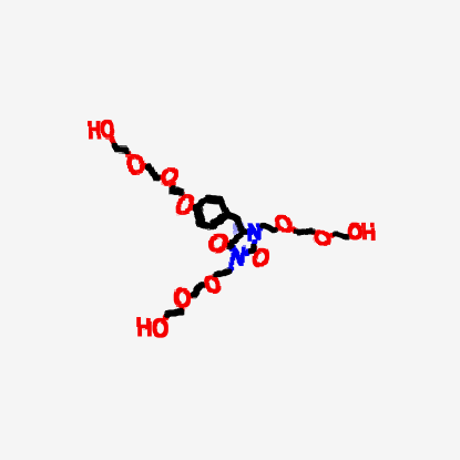 O=C1/C(=C\c2ccc(OCCOCCOCCO)cc2)N(CCOCCOCCO)C(=O)N1CCOCCOCCO